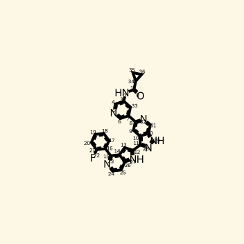 O=C(Nc1cncc(-c2cc3c(-c4cc5c(-c6ccccc6F)nccc5[nH]4)n[nH]c3cn2)c1)C1CC1